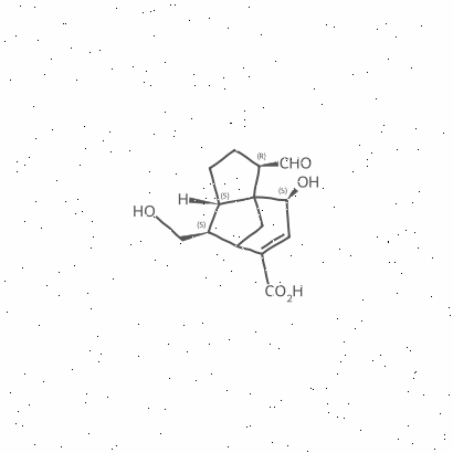 O=C[C@@H]1CC[C@H]2[C@H](CO)C3CC12[C@@H](O)C=C3C(=O)O